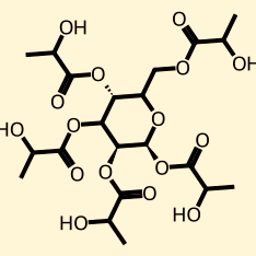 CC(O)C(=O)OCC1O[C@@H](OC(=O)C(C)O)[C@@H](OC(=O)C(C)O)C(OC(=O)C(C)O)[C@@H]1OC(=O)C(C)O